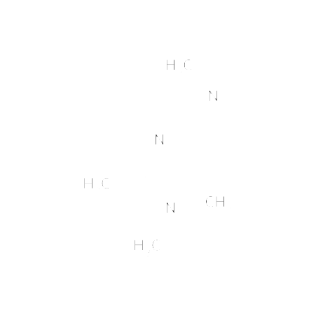 C/N=C\N=C(\C)N(C)C